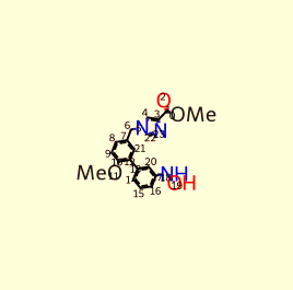 COC(=O)c1cn(Cc2ccc(OC)c(-c3cccc(NO)c3)c2)cn1